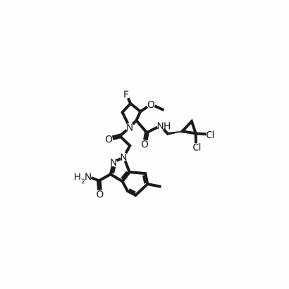 COC1C(F)CN(C(=O)Cn2nc(C(N)=O)c3ccc(C)cc32)C1C(=O)NC[C@H]1CC1(Cl)Cl